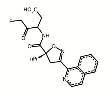 CCC[C@]1(C(=O)NC(CC(=O)O)C(=O)CF)CC(c2nccc3ccccc23)=NO1